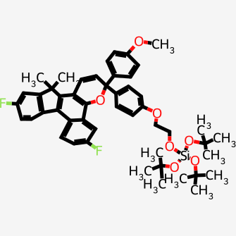 COc1ccc(C2(c3ccc(OCCO[Si](OC(C)(C)C)(OC(C)(C)C)OC(C)(C)C)cc3)C=Cc3c4c(c5ccc(F)cc5c3O2)-c2ccc(F)cc2C4(C)C)cc1